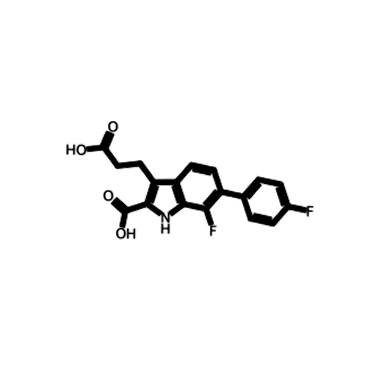 O=C(O)CCc1c(C(=O)O)[nH]c2c(F)c(-c3ccc(F)cc3)ccc12